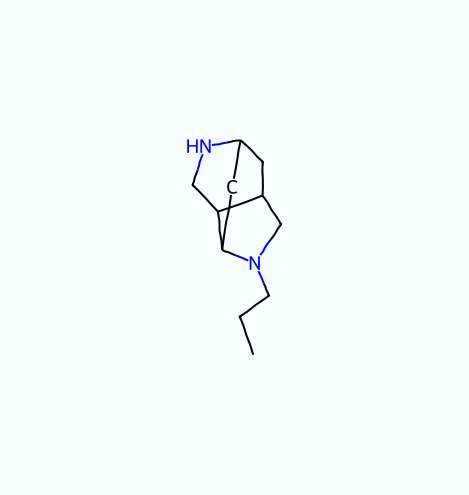 CCCN1CC2CC3CC1C2CN3